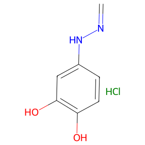 C=NNc1ccc(O)c(O)c1.Cl